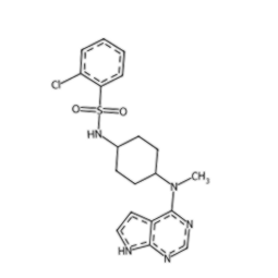 CN(c1ncnc2[nH]ccc12)C1CCC(NS(=O)(=O)c2ccccc2Cl)CC1